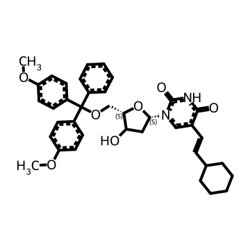 COc1ccc(C(OC[C@@H]2O[C@H](n3cc(C=CC4CCCCC4)c(=O)[nH]c3=O)CC2O)(c2ccccc2)c2ccc(OC)cc2)cc1